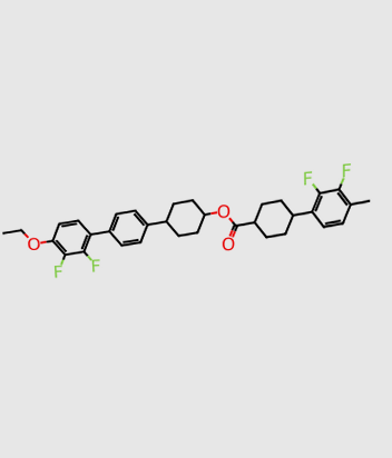 CCOc1ccc(-c2ccc(C3CCC(OC(=O)C4CCC(c5ccc(C)c(F)c5F)CC4)CC3)cc2)c(F)c1F